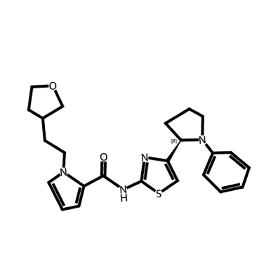 O=C(Nc1nc([C@H]2CCCN2c2ccccc2)cs1)c1cccn1CCC1CCOC1